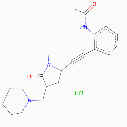 CC(=O)Nc1ccccc1C#CC1CC(CN2CCCCC2)C(=O)N1C.Cl